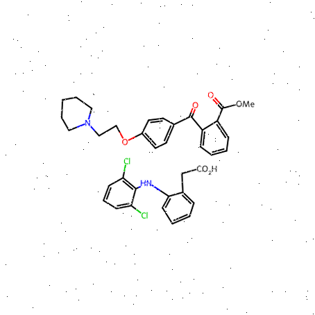 COC(=O)c1ccccc1C(=O)c1ccc(OCCN2CCCCC2)cc1.O=C(O)Cc1ccccc1Nc1c(Cl)cccc1Cl